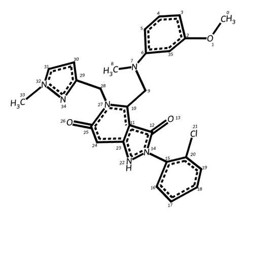 COc1cccc(N(C)Cc2c3c(=O)n(-c4ccccc4Cl)[nH]c3cc(=O)n2Cc2ccn(C)n2)c1